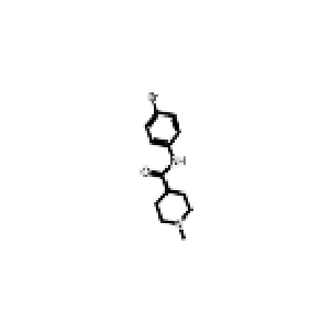 CN1CCC(C(=O)Nc2ccc(Br)cc2)CC1